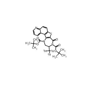 [2H]C([2H])([2H])C1CN(C(=O)OC(C)(C)C)c2c(sc3ccc4ncccc4c23)C(=O)N1C(=O)OC(C)(C)C